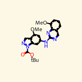 COc1cc(Nc2ncc3cccc(OC)c3n2)cc2c1cnn2C(=O)OC(C)(C)C